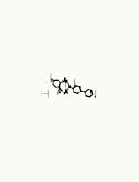 CN1C(=O)C(c2ccc(-c3ccncc3)cc2)NC(=O)c2cc(Cl)ccc21